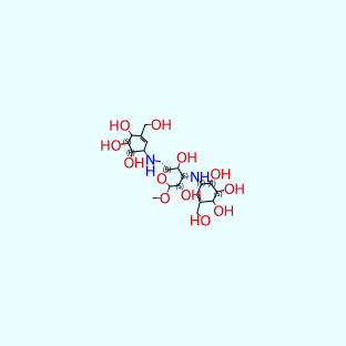 COC1O[C@H](CNC2C=C(CO)C(O)[C@H](O)[C@@H]2O)C(O)[C@H](N[C@H]2C=C(CO)C(O)[C@H](O)[C@@H]2O)[C@@H]1O